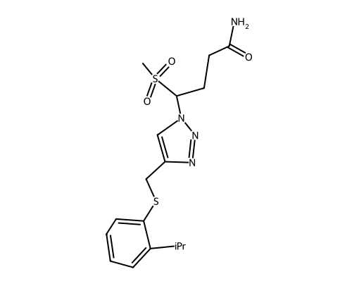 CC(C)c1ccccc1SCc1cn(C(CCC(N)=O)S(C)(=O)=O)nn1